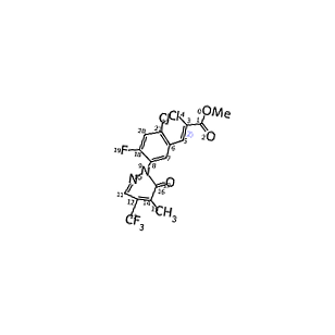 COC(=O)/C(Cl)=C/c1cc(-n2ncc(C(F)(F)F)c(C)c2=O)c(F)cc1Cl